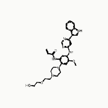 C=CC(=O)Nc1cc(Nc2cc(-c3c[nH]c4ccccc34)ncn2)c(OC)cc1N1CCN(CCOCCO)CC1